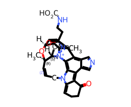 CO[C@H]1[C@@]2(C)/C=C\Cn3c4c(c5c6c(c7c(c53)[N@@+]1(N(C)C(=O)CCNC(=O)O)C1=C7C=C[C@@H](C1)O2)C=NC=6)C(=O)CCC=4